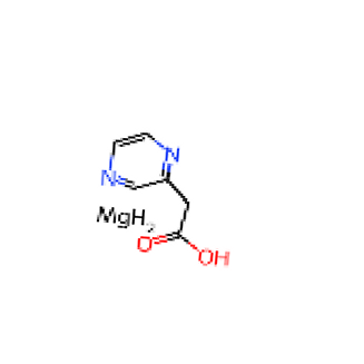 O=C(O)Cc1cnccn1.[MgH2]